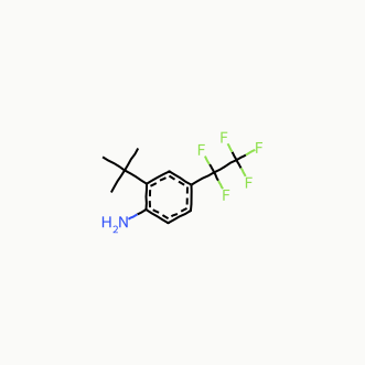 CC(C)(C)c1cc(C(F)(F)C(F)(F)F)ccc1N